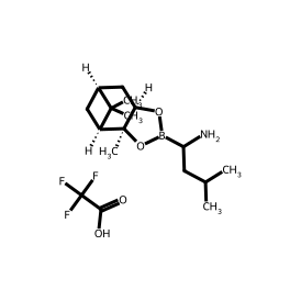 CC(C)CC(N)B1O[C@@H]2C[C@@H]3C[C@@H](C3(C)C)[C@]2(C)O1.O=C(O)C(F)(F)F